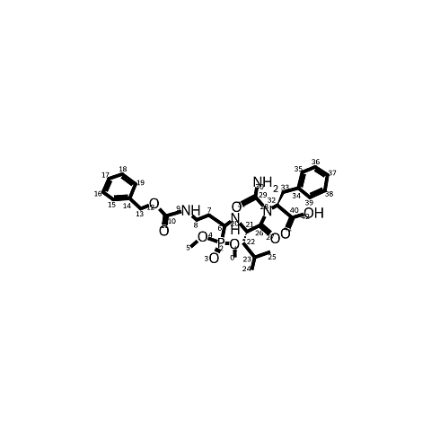 COP(=O)(OC)C(CCNC(=O)OCc1ccccc1)N[C@@H](CC(C)C)C(=O)N(C(N)=O)[C@@H](Cc1ccccc1)C(=O)O